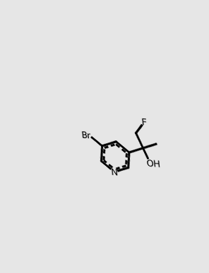 CC(O)(CF)c1cncc(Br)c1